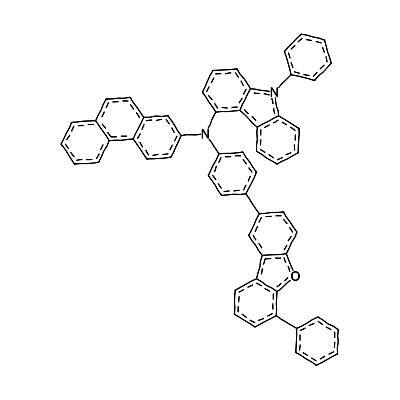 c1ccc(-c2cccc3c2oc2ccc(-c4ccc(N(c5ccc6c(ccc7ccccc76)c5)c5cccc6c5c5ccccc5n6-c5ccccc5)cc4)cc23)cc1